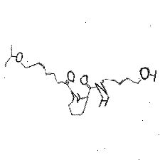 CC(C)OCCCCCC(=O)N1CCCC1C(=O)NCCCCOI